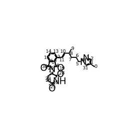 Cc1cnn(CCCC(C)/C=C/c2cccc3c2C(=O)N(C2CCC(=O)NC2=O)C3=O)c1